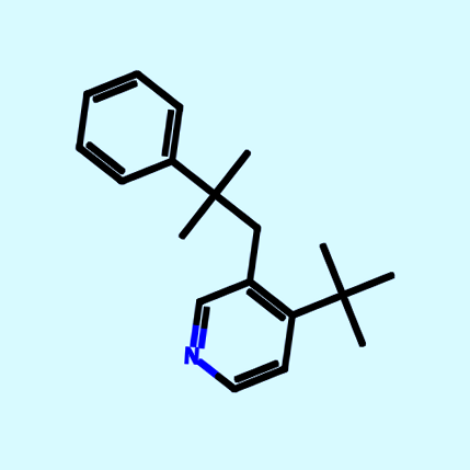 CC(C)(C)c1ccncc1CC(C)(C)c1ccccc1